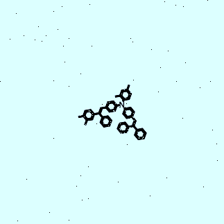 Cc1ccc(N(c2ccc(C=C(c3ccccc3)c3ccccc3)cc2)c2ccc(/C=C(\c3ccccc3)c3ccc(C)c(C)c3)cc2)c(C)c1